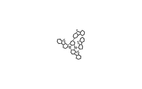 c1ccc2c(c1)sc1ccc(-c3cc4c5c(c3)N(c3cccc6c3sc3ccccc36)c3c(ccc6c3sc3ccccc36)B5c3ccc5c(sc6ccccc65)c3-4)cc12